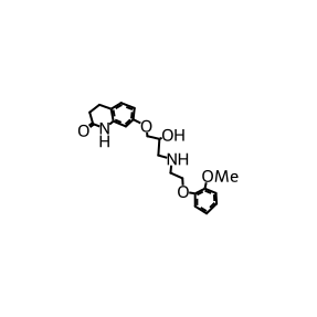 COc1ccccc1OCCNCC(O)COc1ccc2c(c1)NC(=O)CC2